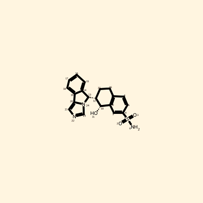 NS(=O)(=O)c1ccc2c(c1)[C@H](O)[C@H](C1c3ccccc3-c3cncn31)CC2